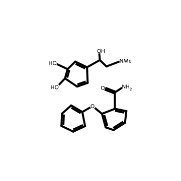 CNCC(O)c1ccc(O)c(O)c1.NC(=O)c1ccccc1Oc1ccccc1